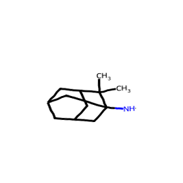 CC1(C)C2CC3CC(C2)CC1([NH])C3